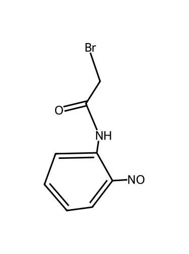 O=Nc1ccccc1NC(=O)CBr